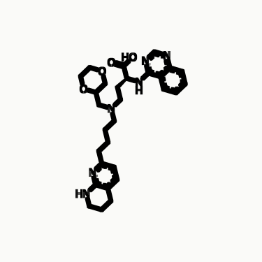 O=C(O)[C@H](CCN(CCCCc1ccc2c(n1)NCCC2)CC1COCCO1)Nc1ncnc2ccccc12